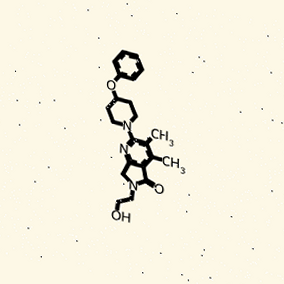 Cc1c(N2CCC(Oc3ccccc3)CC2)nc2c(c1C)C(=O)N(CCO)C2